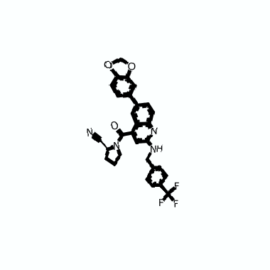 N#C[C@@H]1CCCN1C(=O)c1cc(NCc2ccc(C(F)(F)F)cc2)nc2ccc(-c3ccc4c(c3)OCO4)cc12